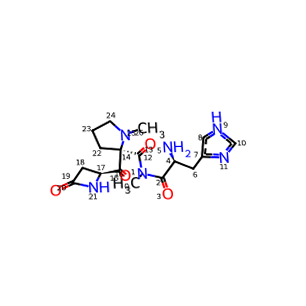 CN(C(=O)[C@@H](N)Cc1c[nH]cn1)C(=O)[C@]1(C(=O)[C@@H]2CC(=O)N2)CCCN1C